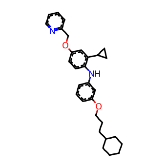 c1ccc(COc2ccc(Nc3cccc(OCCCC4CCCCC4)c3)c(C3CC3)c2)nc1